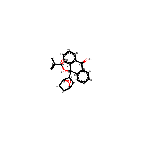 C=C(C)C(=O)OC1(C2CC3CCC2O3)c2ccccc2C(=O)c2ccccc21